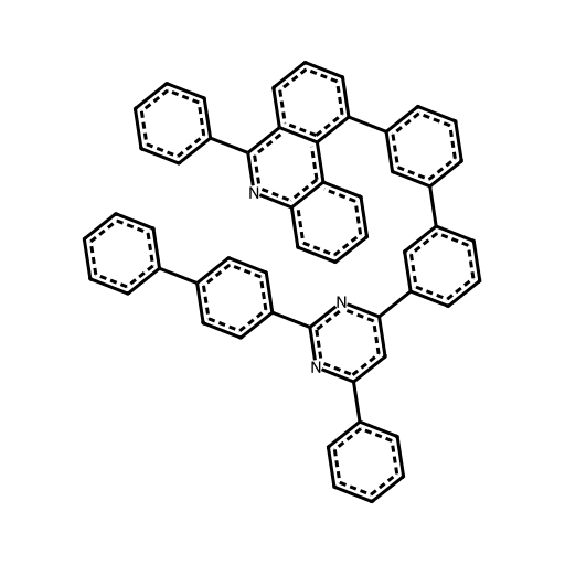 c1ccc(-c2ccc(-c3nc(-c4ccccc4)cc(-c4cccc(-c5cccc(-c6cccc7c(-c8ccccc8)nc8ccccc8c67)c5)c4)n3)cc2)cc1